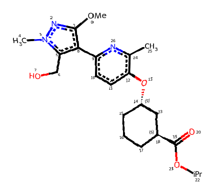 COc1nn(C)c(CO)c1-c1ccc(O[C@H]2CCC[C@H](C(=O)OC(C)C)C2)c(C)n1